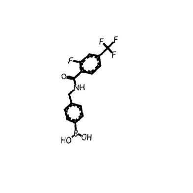 O=C(NCc1ccc(B(O)O)cc1)c1ccc(C(F)(F)F)cc1F